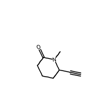 C#CC1CCCC(=O)N1C